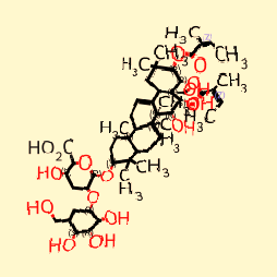 C/C=C(/C)C(=O)O[C@H]1[C@H](OC(=O)/C(C)=C\C)[C@@]2(CO)C(CC1(C)C)C1=CCC3[C@@]4(C)CC[C@H](O[C@@H]5OC(C(=O)O)[C@@H](O)CC5O[C@@H]5CC(CO)[C@H](O)[C@@H](O)C5O)C(C)(C)C4CC[C@@]3(C)[C@]1(C)[C@@H](O)[C@H]2O